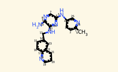 Cc1ccc(Nc2cnc(N)c(NCc3ccc4ncccc4c3)n2)cn1